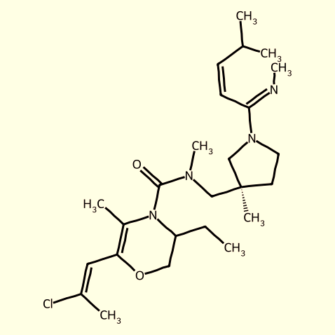 CCC1COC(/C=C(\C)Cl)=C(C)N1C(=O)N(C)C[C@]1(C)CCN(C(/C=C\C(C)C)=N/C)C1